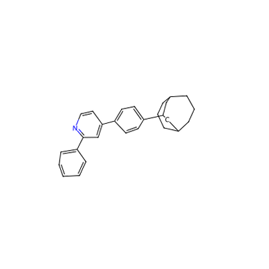 c1ccc(-c2cc(-c3ccc(C4CC5CCCC(CCC5)C4)cc3)ccn2)cc1